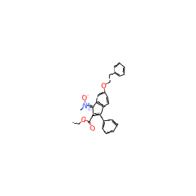 CCOC(=O)C1=C(c2ccccc2)c2ccc(OCCc3ccccc3)cc2/C1=[N+](/C)[O-]